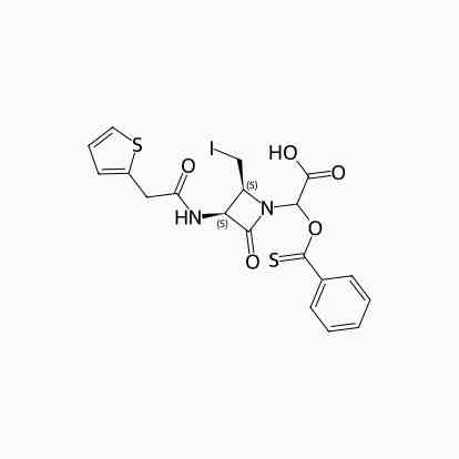 O=C(Cc1cccs1)N[C@@H]1C(=O)N(C(OC(=S)c2ccccc2)C(=O)O)[C@@H]1CI